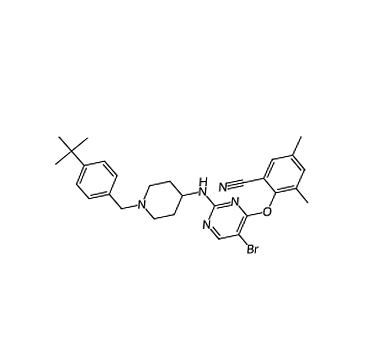 Cc1cc(C)c(Oc2nc(NC3CCN(Cc4ccc(C(C)(C)C)cc4)CC3)ncc2Br)c(C#N)c1